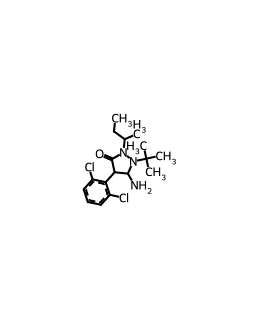 CCC(C)N1C(=O)C(c2c(Cl)cccc2Cl)C(N)N1C(C)(C)C